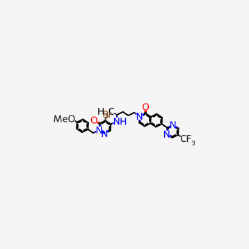 COc1ccc(Cn2ncc(N[C@@H](C)CCCn3ccc4cc(-c5ncc(C(F)(F)F)cn5)ccc4c3=O)c(Br)c2=O)cc1